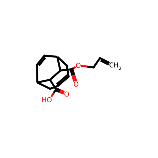 C=CCOC(=O)C1C2C=CC(C/C=C\C2)C1C(=O)O